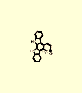 C#C/C=C\c1c(C)c2c3c([nH]c2c2[nH]c4ccccc4c12)C=CCC3